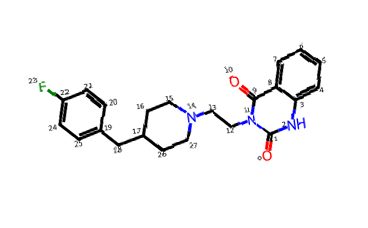 O=c1[nH]c2ccccc2c(=O)n1CCN1CCC(Cc2ccc(F)cc2)CC1